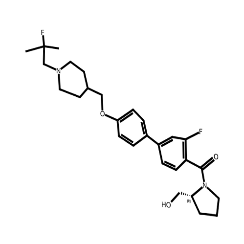 CC(C)(F)CN1CCC(COc2ccc(-c3ccc(C(=O)N4CCC[C@@H]4CO)c(F)c3)cc2)CC1